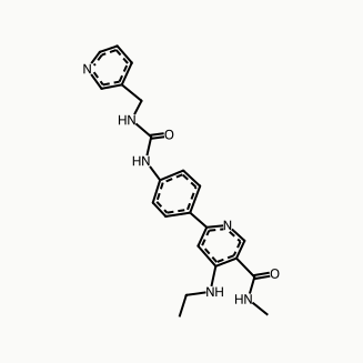 CCNc1cc(-c2ccc(NC(=O)NCc3cccnc3)cc2)ncc1C(=O)NC